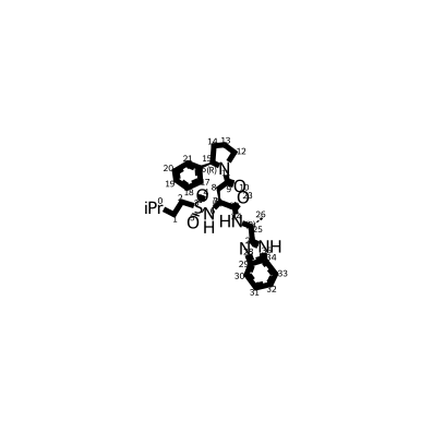 CC(C)CCS(=O)(=O)N[C@@H](CC(=O)N1CCC[C@@H]1c1ccccc1)C(=O)N[C@H](C)c1nc2ccccc2[nH]1